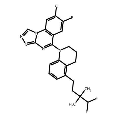 CC(C)(CCc1cccc2c1CCCN2c1nc2nncn2c2cc(Cl)c(F)cc12)C(F)F